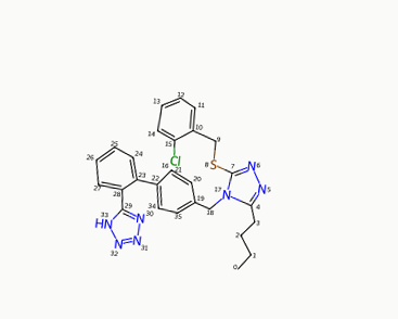 CCCCc1nnc(SCc2ccccc2Cl)n1Cc1ccc(-c2ccccc2-c2nnn[nH]2)cc1